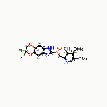 COc1cnc(C[S+]([O-])c2nc3cc4c(cc3[nH]2)OCC(F)(F)O4)c(C)c1OC